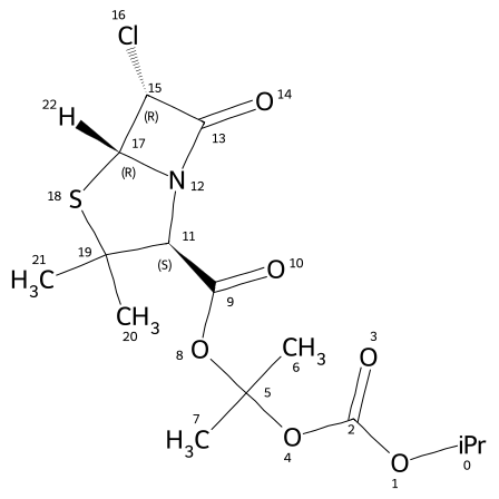 CC(C)OC(=O)OC(C)(C)OC(=O)[C@@H]1N2C(=O)[C@@H](Cl)[C@H]2SC1(C)C